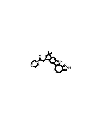 CC1(C)CN(CC(=O)N2CCOCC2)c2cc3c4c([nH]c3cc21)-c1n[nH]cc1CCC4